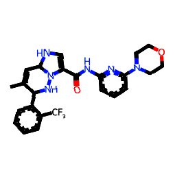 CC1=CC2NC=C(C(=O)Nc3cccc(N4CCOCC4)n3)N2NC1c1ccccc1C(F)(F)F